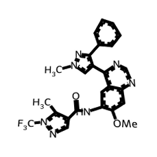 COc1cc2ncnc(-c3cn(C)nc3-c3ccccc3)c2cc1NC(=O)c1cnn(C(F)(F)F)c1C